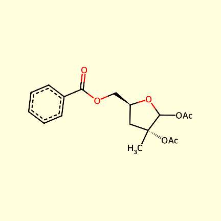 CC(=O)OC1O[C@H](COC(=O)c2ccccc2)C[C@@]1(C)OC(C)=O